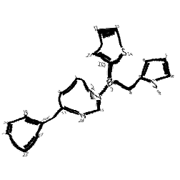 C1=CN(B(Cc2cccs2)c2cccs2)CN=C1c1ccccc1